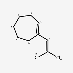 ClC(Cl)=CC1=CCCCCC1